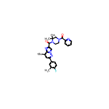 Cc1cc(-c2cc(C(C)(C)C)c3nc(C(=O)N4CCN(C(=O)c5ccccn5)CC4(C)C)cn3n2)ccc1F